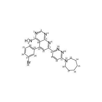 Nc1ncnc2nc(-c3ccc(N4CCCCCC4)nn3)cc(-c3cccc(Br)c3)c12